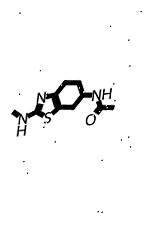 CNc1nc2c(s1)CC(NC(C)=O)CC2